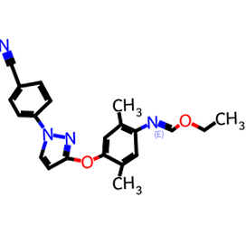 CCO/C=N/c1cc(C)c(Oc2ccn(-c3ccc(C#N)cc3)n2)cc1C